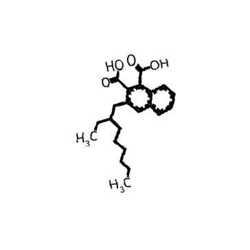 CCCCCCC(CC)Cc1cc2ccccc2c(C(=O)O)c1C(=O)O